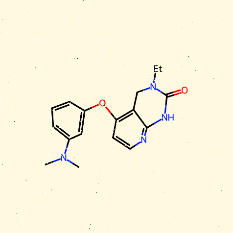 CCN1Cc2c(Oc3cccc(N(C)C)c3)ccnc2NC1=O